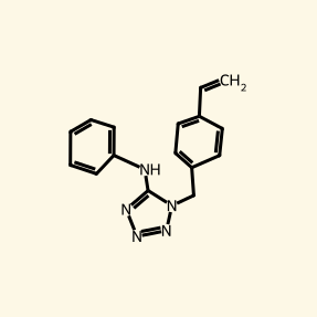 C=Cc1ccc(Cn2nnnc2Nc2ccccc2)cc1